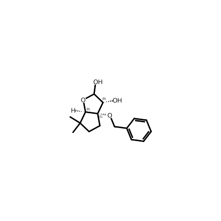 CC1(C)CC[C@@]2(OCc3ccccc3)[C@@H]1OC(O)[C@@H]2O